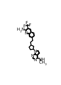 CNc1ncnc2c1ccn2C1CCC(CCc2ccc3cc(C(F)(F)F)c(N)nc3c2)C1